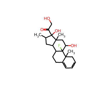 CC1CC2C3CCC4=CC=CCC4(C)C3(F)C(O)CC2(C)C1(O)C(=O)CO